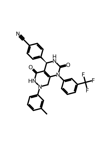 Cc1cccc(N2CC3=C(C(=O)N2)[C@@H](c2ccc(C#N)cc2)NC(=O)N3c2cccc(C(F)(F)F)c2)c1